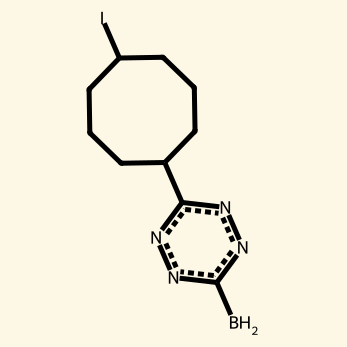 Bc1nnc(C2CCCC(I)CCC2)nn1